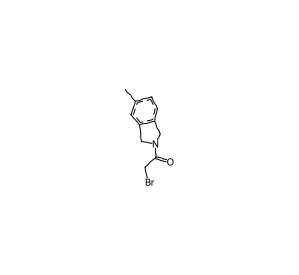 Cc1ccc2c(c1)CN(C(=O)CBr)C2